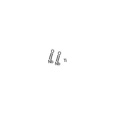 [O]=[Nb].[O]=[Nb].[Ti]